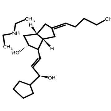 CCCCC=C1C[C@H]2C[C@@H](O)[C@H](C=C[C@@H](O)C3CCCC3)[C@H]2C1.CCNCC